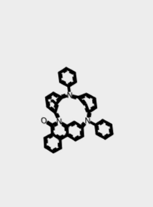 O=c1c2ccccc2c2ccc3cc2n1c1cccc(c1Cl)n(-c1ccccc1)c1cccc(c1)n3-c1ccccc1